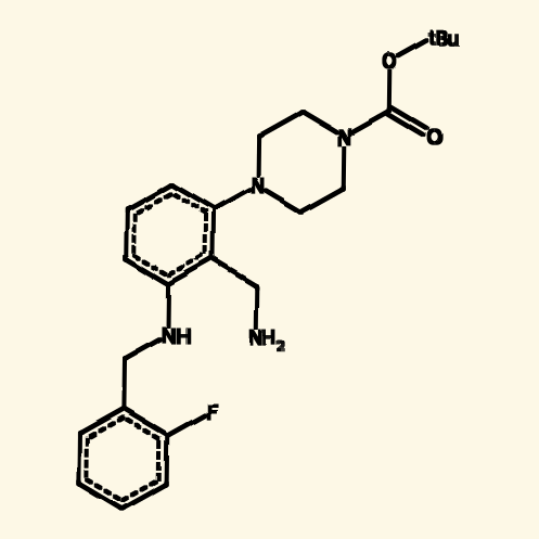 CC(C)(C)OC(=O)N1CCN(c2cccc(NCc3ccccc3F)c2CN)CC1